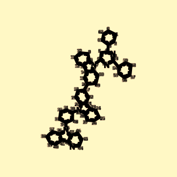 c1ccc(-c2cc(-n3c4ccccc4c4cc(-c5ccc6c(c5)c5ccccc5n6-c5cccc(-n6c7ccccc7c7ncccc76)c5)ccc43)nc(-c3ccccc3)n2)cc1